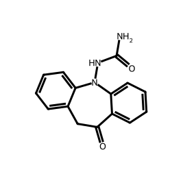 NC(=O)NN1c2ccccc2CC(=O)c2ccccc21